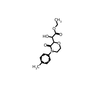 CCOC(=O)C(O)C1OCCN(c2ccc(C)cc2)C1=O